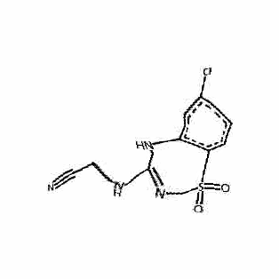 N#CCNC1=NS(=O)(=O)c2ccc(Cl)cc2N1